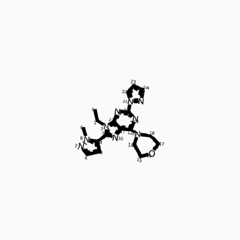 CCn1c(-c2ccnn2C)nc2c(N3CCOCC3)nc(-n3cccn3)nc21